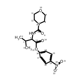 CC(C)C(NC(=O)N1CCOCC1)C(=O)Oc1ccc([N+](=O)[O-])cc1